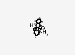 NC(=O)C1(N2CCCCC2)Cc2ccccc2NC1=O